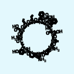 CCCC[C@H]1C(=O)N(C)[C@@H](CCCC)C(=O)N[C@@H](CCC(=O)O)C(=O)N[C@H](C(N)=O)CCCC(=O)N[C@@H](Cc2ccc(O)cc2)C(=O)N2CCCC[C@H]2C(=O)N[C@@H](CC(N)=O)C(=O)N2CCC[C@H]2C(=O)N[C@@H](CN)C(=O)N[C@@H](CC(C)C)C(=O)N2C[C@H](O)C[C@@]23C(=O)N3[C@@H](Cc2c[nH]c3ccccc23)C(=O)N[C@@H](CCN)C(=O)N[C@@H](Cc2cn(CC(=O)O)c3ccccc23)C(=O)N1C